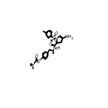 Cc1ccc(S(=O)(=O)N2CC(N)CC2C(=O)NC(C)Cc2ccc(OC(=O)N(C)C)cc2)cc1